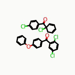 O=C(c1ccc(Cl)cc1)C1(Cl)C=CC=CC1.O=C(c1ccc(Oc2ccccc2)cc1)c1cc(Cl)ccc1Cl